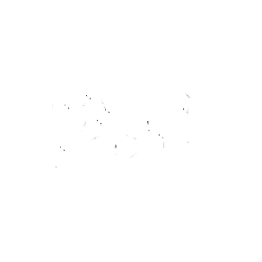 Nc1ncnn2c(-c3cccc(C(=O)N[C@@H]4CN(C(=O)CC(F)(F)F)C[C@@H]4F)c3)cc(CN3CC(F)(F)C3)c12